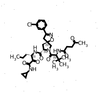 CCC[C@H](NC(=O)[C@@H]1C[C@]2(CC(c3cccc(Cl)c3)=NO2)CN1C(=O)[C@@H](NC(=O)CCC(C)=O)C(C)(C)C)C(=O)C(=O)NC1CC1